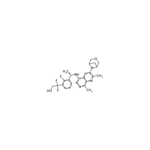 Cc1nc2c(C)nnc(N[C@H](C)c3cccc(C(F)(F)CO)c3F)c2cc1N1C2COCC1C2